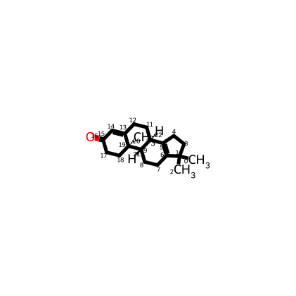 CC1(C)CCC2=C1CC[C@H]1[C@H]2CCC2=CC(=O)CC[C@@]21C